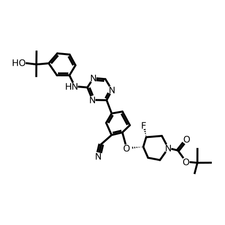 CC(C)(C)OC(=O)N1CC[C@H](Oc2ccc(-c3ncnc(Nc4cccc(C(C)(C)O)c4)n3)cc2C#N)[C@H](F)C1